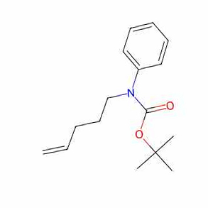 C=CCCCN(C(=O)OC(C)(C)C)c1ccccc1